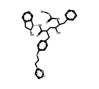 CC(C)(C)OC(=O)NC(Cc1ccccc1)C(O)CC(Cc1ccc(OCCn2ccnn2)cc1)C(=O)N[C@H]1c2ccccc2C[C@@H]1O